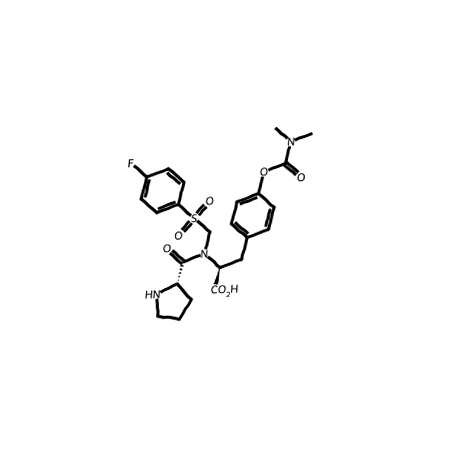 CN(C)C(=O)Oc1ccc(C[C@@H](C(=O)O)N(CS(=O)(=O)c2ccc(F)cc2)C(=O)[C@@H]2CCCN2)cc1